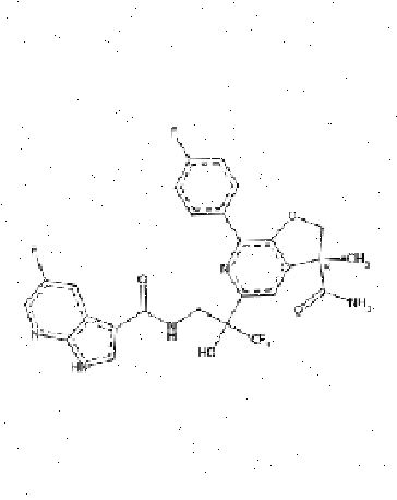 C[C@]1(C(N)=O)COc2c1cc(C(O)(CNC(=O)c1c[nH]c3ncc(F)cc13)C(F)(F)F)nc2-c1ccc(F)cc1